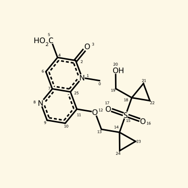 Cn1c(=O)c(C(=O)O)cc2nccc(OCC3(S(=O)(=O)C4(CO)CC4)CC3)c21